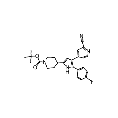 CC(C)(C)OC(=O)N1CCC(c2cc(-c3ccnc(C#N)c3)c(-c3ccc(F)cc3)[nH]2)CC1